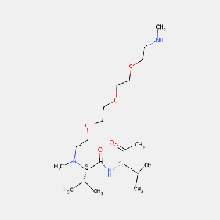 CNCCOCCOCCOCCN(C)[C@H](C(=O)N[C@H](C(C)=O)C(C)C)C(C)C